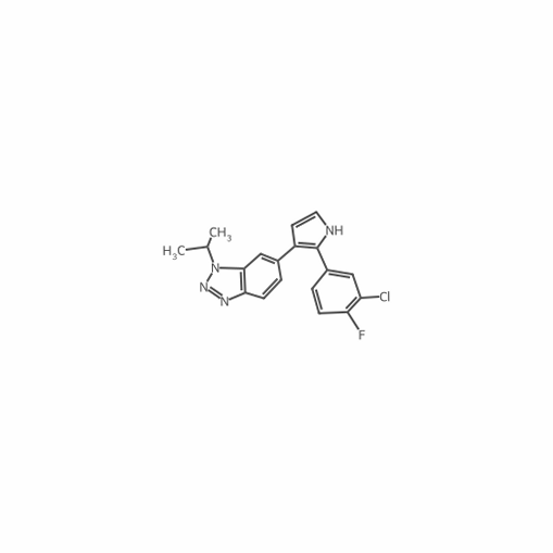 CC(C)n1nnc2ccc(-c3cc[nH]c3-c3ccc(F)c(Cl)c3)cc21